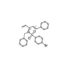 C=C[C@@H](/C=C/c1ccccc1)N(Cc1ccccc1)S(=O)(=O)c1ccc(Br)cc1